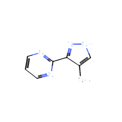 O=[N+]([O-])c1c[nH]nc1-c1ncccn1